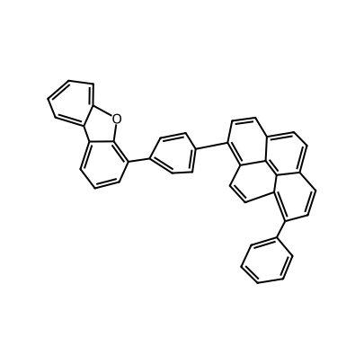 c1ccc(-c2ccc3ccc4ccc(-c5ccc(-c6cccc7c6oc6ccccc67)cc5)c5ccc2c3c45)cc1